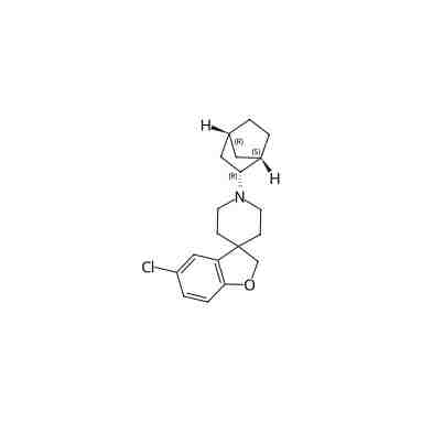 Clc1ccc2c(c1)C1(CCN([C@@H]3C[C@@H]4CC[C@H]3C4)CC1)CO2